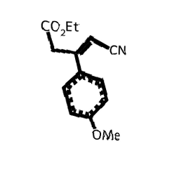 CCOC(=O)C/C(=C/C#N)c1ccc(OC)cc1